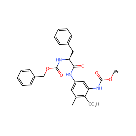 Cc1cc(NC(=O)[C@H](Cc2ccccc2)NC(=O)OCc2ccccc2)cc(NC(=O)OC(C)C)c1C(=O)O